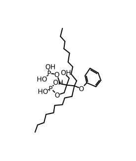 CCCCCCCCCC(CCCCCCCCC)(Oc1ccccc1)C(CO)(COP(O)O)COP(O)O